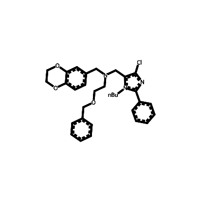 CCCCn1c(-c2ccccc2)nc(Cl)c1CN(CCOCc1ccccc1)Cc1ccc2c(c1)OCCO2